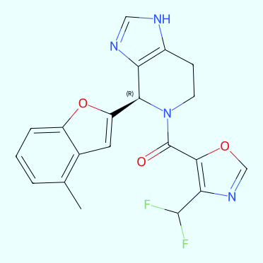 Cc1cccc2oc([C@H]3c4nc[nH]c4CCN3C(=O)c3ocnc3C(F)F)cc12